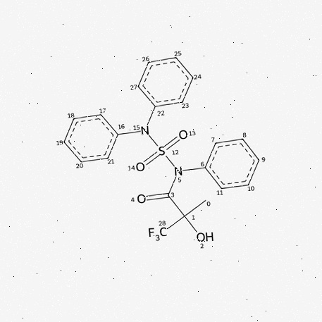 CC(O)(C(=O)N(c1ccccc1)S(=O)(=O)N(c1ccccc1)c1ccccc1)C(F)(F)F